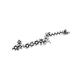 CC[C@@H]([C@H](C)OC(=O)OC(C)OC(=O)CCCCCCCCCOP(=O)(O)O)n1ncn(-c2ccc(N3CCN(c4ccc(OC[C@@H]5CO[C@@](Cn6cncn6)(c6ccc(F)cc6F)C5)cc4)CC3)cc2)c1=O